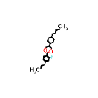 CCCCCC1CCC(C2COC(c3ccc(CCCC)cc3F)OC2)CC1